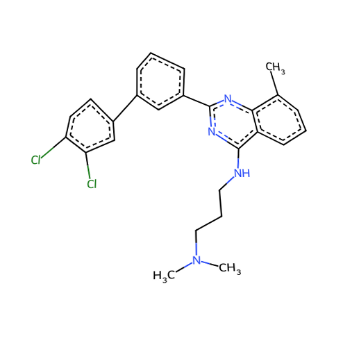 Cc1cccc2c(NCCCN(C)C)nc(-c3cccc(-c4ccc(Cl)c(Cl)c4)c3)nc12